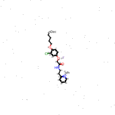 CCCCCCCCCCCCCCOc1ccc(OCC(=O)NCCc2cccc[n+]2CCC)cc1Cl.[I-]